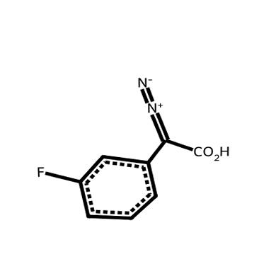 [N-]=[N+]=C(C(=O)O)c1cccc(F)c1